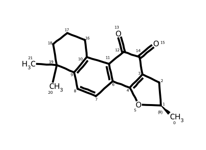 C[C@@H]1CC2=C(O1)c1ccc3c(c1C(=O)C2=O)CCCC3(C)C